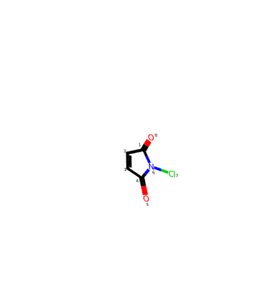 O=C1C=CC(=O)N1Cl